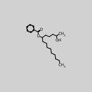 CCCCCCCCCC(CCCC(C)O)OC(=O)c1ccccc1